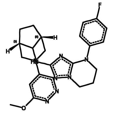 COc1cc(N2C[C@H]3CC[C@@H](C2)C3Nc2nc3n(n2)CCCN3c2ccc(F)cc2)cnn1